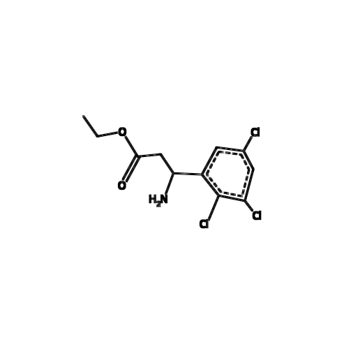 CCOC(=O)CC(N)c1cc(Cl)cc(Cl)c1Cl